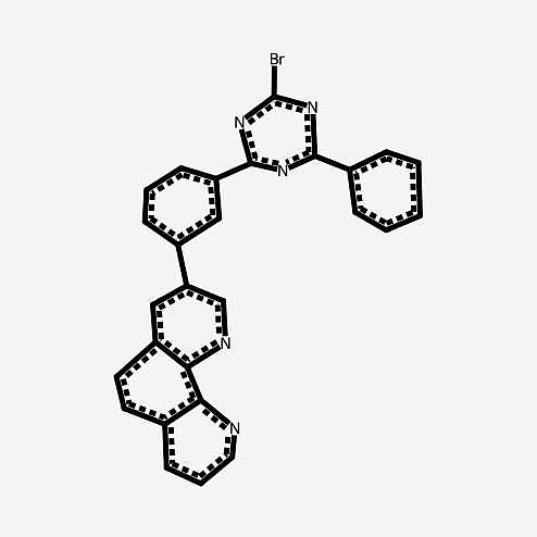 Brc1nc(-c2ccccc2)nc(-c2cccc(-c3cnc4c(ccc5cccnc54)c3)c2)n1